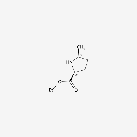 CCOC(=O)[C@@H]1CC[C@H](C)N1